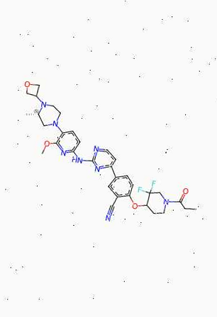 CCC(=O)N1CCC(Oc2ccc(-c3ccnc(Nc4ccc(N5CCN(C6COC6)[C@@H](C)C5)c(OC)n4)n3)cc2C#N)C(F)(F)C1